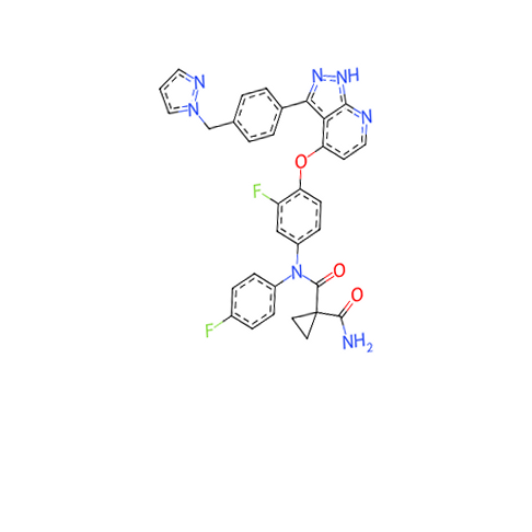 NC(=O)C1(C(=O)N(c2ccc(F)cc2)c2ccc(Oc3ccnc4[nH]nc(-c5ccc(Cn6cccn6)cc5)c34)c(F)c2)CC1